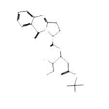 CC(C)(C)OC(=O)CC(NC(=O)[C@@H]1CCc2nc3ccccc3c(=O)n21)C(O)CF